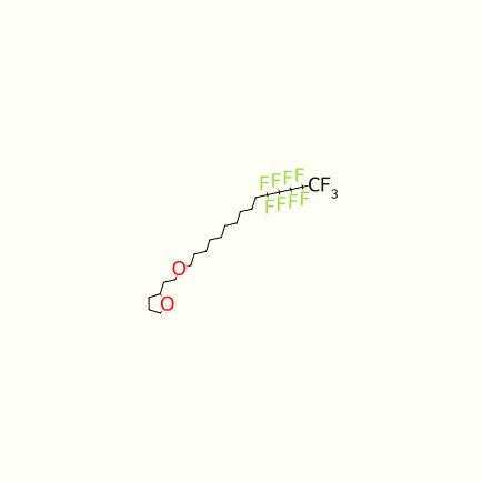 FC(F)(F)C(F)(F)C(F)(F)C(F)(F)C(F)(F)CCCCCCCCCCOCCC1CCCO1